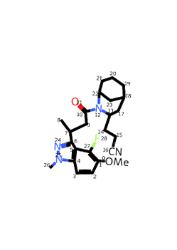 COc1ccc2c(c(C(C)CC(=O)N3C(CCC#N)CC4CCCC3C4)nn2C)c1F